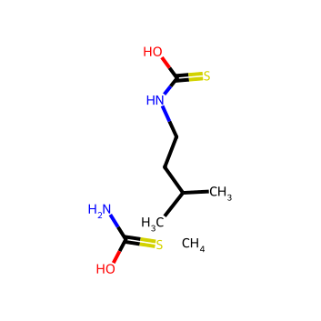 C.CC(C)CCNC(O)=S.NC(O)=S